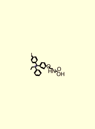 CC/C(=C(\c1ccc(I)cc1)c1ccc(OCCNC(=O)O)cc1)c1ccccc1